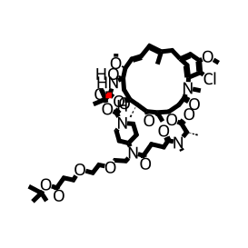 COc1cc2cc(c1Cl)N(C)C(=O)C[C@H](OC(=O)[C@H](C)N(C)C(=O)CCC(=O)N(CCOCCOCCC(=O)OC(C)(C)C)C1CCN(C(=O)OC(C)(C)C)CC1)C1(C)OC1[C@H](C)[C@@H]1C[C@@](O)(NC(=O)O1)[C@H](OC)/C=C/C=C(\C)C2